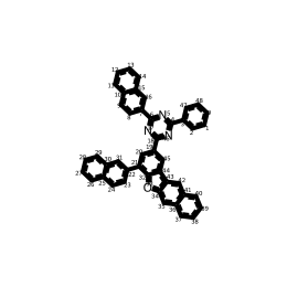 c1ccc(-c2nc(-c3ccc4ccccc4c3)nc(-c3cc(-c4ccc5ccccc5c4)c4oc5cc6ccccc6cc5c4c3)n2)cc1